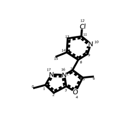 Cc1cc2oc(C)c(-c3cnc(Cl)cc3C)n2n1